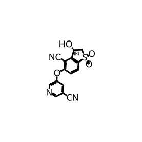 N#Cc1cncc(Oc2ccc3c(c2C#N)[C@@H](O)CS3(=O)=O)c1